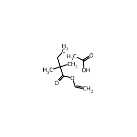 C=COC(=O)C(C)(C)CC.CC(=O)O